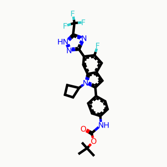 CC(C)(C)OC(=O)Nc1ccc(-c2cc3cc(F)c(-c4n[nH]c(C(F)(F)F)n4)cc3n2C2CCC2)cc1